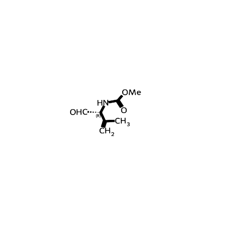 C=C(C)[C@H](C=O)NC(=O)OC